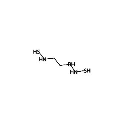 SNBCCNS